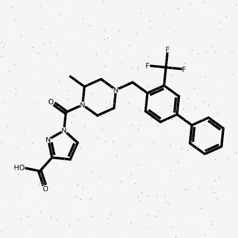 CC1CN(Cc2ccc(-c3ccccc3)cc2C(F)(F)F)CCN1C(=O)n1ccc(C(=O)O)n1